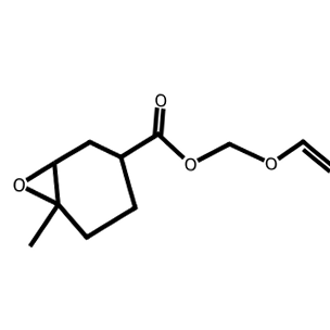 C=COCOC(=O)C1CCC2(C)OC2C1